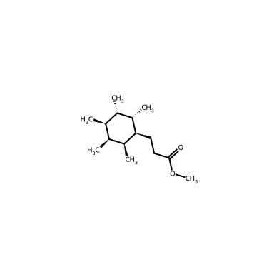 COC(=O)CC[C@H]1[C@@H](C)[C@@H](C)[C@@H](C)[C@H](C)[C@@H]1C